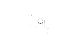 CCCCOc1cc(OC)ccc1CNC(=O)OC(C)(C)C